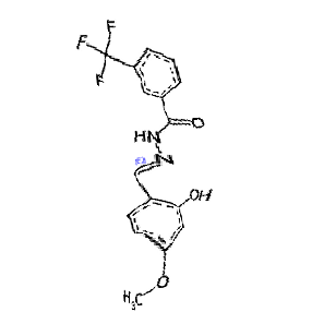 COc1ccc(/C=N/NC(=O)c2cccc(C(F)(F)F)c2)c(O)c1